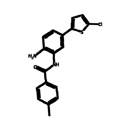 Cc1ccc(C(=O)Nc2cc(-c3ccc(Cl)s3)ccc2N)cc1